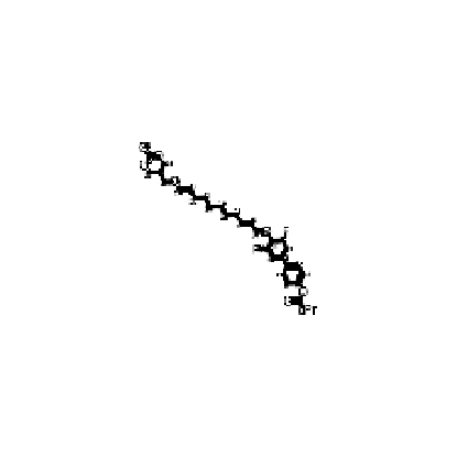 CC(C)C(=O)Oc1ccc(-c2cc(F)c(OCCCCCCCCCCCOCC3COC(=O)OC3)c(F)c2)cc1